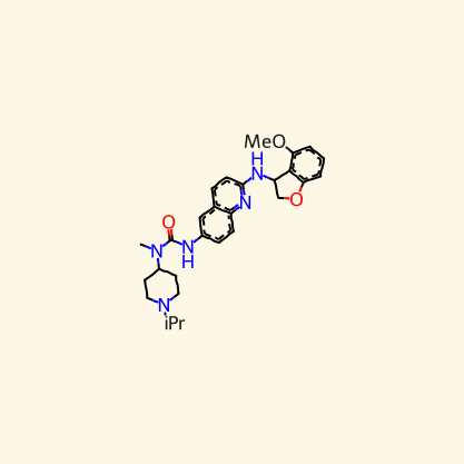 COc1cccc2c1C(Nc1ccc3cc(NC(=O)N(C)C4CCN(C(C)C)CC4)ccc3n1)CO2